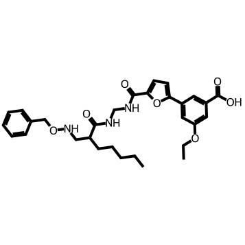 CCCCCC(CNOCc1ccccc1)C(=O)NCNC(=O)c1ccc(-c2cc(OCC)cc(C(=O)O)c2)o1